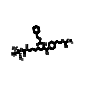 CC(=O)OCCC1CCN(C(=O)C(COCCCNC(=O)OC(C)(C)C)NC(=O)OCc2ccccc2)CC1